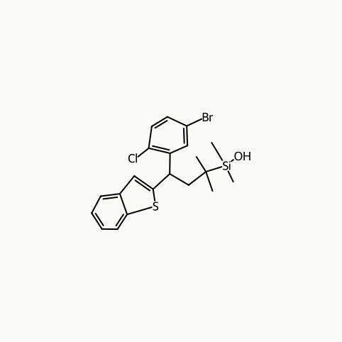 CC(C)(CC(c1cc2ccccc2s1)c1cc(Br)ccc1Cl)[Si](C)(C)O